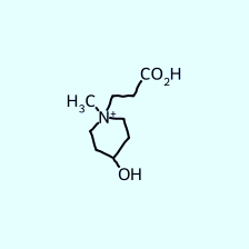 C[N+]1(CCC(=O)O)CCC(O)CC1